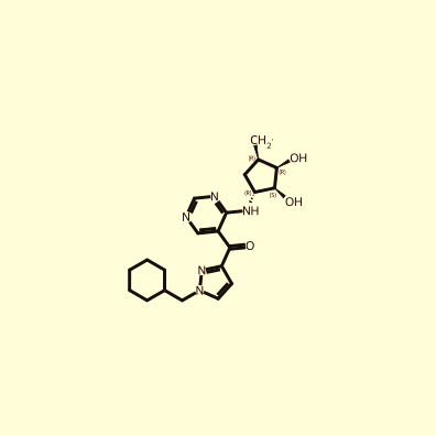 [CH2][C@@H]1C[C@@H](Nc2ncncc2C(=O)c2ccn(CC3CCCCC3)n2)[C@H](O)[C@@H]1O